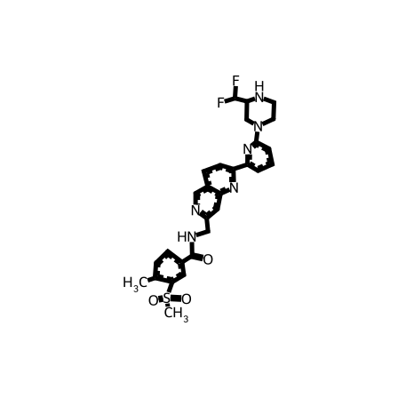 Cc1ccc(C(=O)NCc2cc3nc(-c4cccc(N5CCNC(C(F)F)C5)n4)ccc3cn2)cc1S(C)(=O)=O